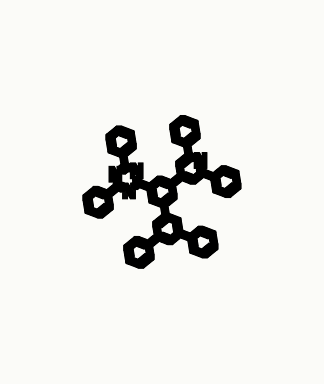 c1ccc(-c2cc(-c3ccccc3)cc(-c3cc(-c4cc(-c5ccccc5)nc(-c5ccccc5)c4)cc(-c4nc(-c5ccccc5)nc(-c5ccccc5)n4)c3)c2)cc1